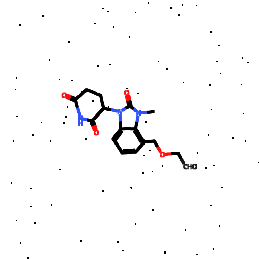 Cn1c(=O)n(C2CCC(=O)NC2=O)c2cccc(COCC=O)c21